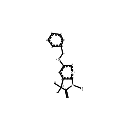 C=C1N(CC)c2ccc(OCc3ccccc3)cc2C1(C)C